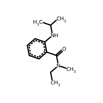 CCN(C)C(=O)c1ccccc1NC(C)C